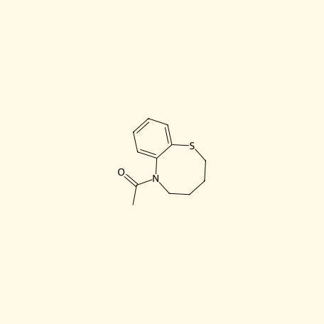 CC(=O)N1CCCCSc2ccccc21